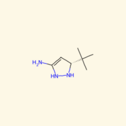 CC(C)(C)[C@H]1C=C(N)NN1